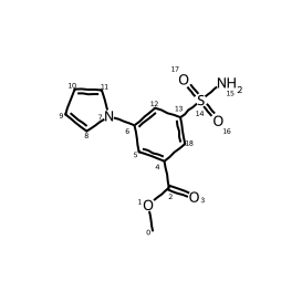 COC(=O)c1cc(-n2cccc2)cc(S(N)(=O)=O)c1